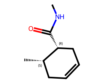 CNC(=O)[C@@H]1CC=CC[C@@H]1C